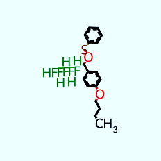 CCCCOc1ccc(COSc2ccccc2)cc1.F.F.F.F.F